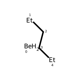 [BeH2].[CH2]CCCCC